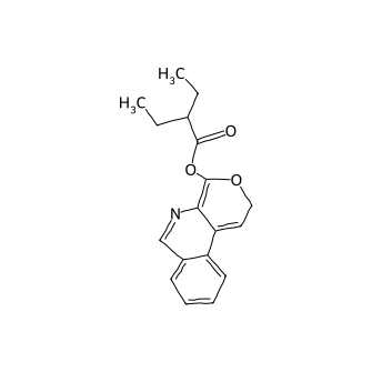 CCC(CC)C(=O)OC1=c2ncc3ccccc3c2=CCO1